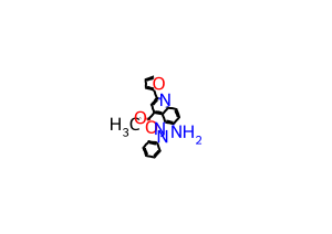 COC(=O)c1cc(-c2ccco2)nc2ccc(N)c(/N=N/c3ccccc3)c12